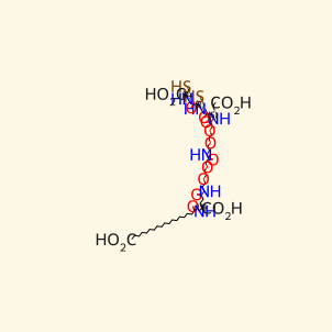 O=C(O)CCCCCCCCCCCCCCCCC(=O)N[C@@H](CCC(=O)NCCOCCOCC(=O)NCCOCCOCC(=O)N[C@@H](CCC(=O)O)C(=O)CN[C@@H](CS)C(=O)CN[C@@H](CS)C(=O)O)C(=O)O